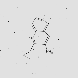 Nc1cc2ccccc2nc1C1CC1